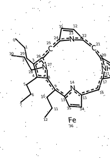 CCCc1c(CCC)c2c(CCC)c3nc(cc4ccc(cc5nc(cc1n2CCC)C=C5)[nH]4)C=C3.[Fe]